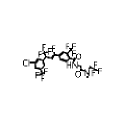 CN(CC(F)(F)F)C(=O)CNC(=O)c1ccc(/C(F)=C/C(c2cc(Cl)cc(C(F)(F)F)c2)C(F)(F)F)cc1C(F)(F)F